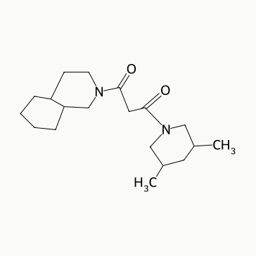 CC1CC(C)CN(C(=O)CC(=O)N2CCC3CCCCC3C2)C1